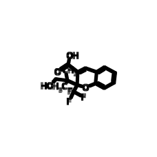 CC(C)(CO)C1(C(F)(F)F)Oc2ccccc2C=C1C(=O)O